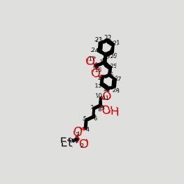 CCC(=O)OCCCCC(O)COC1=CC2OC(=O)C(c3ccccc3)=CC2C=C1